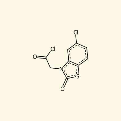 O=C(Cl)Cn1c(=O)sc2ccc(Cl)cc21